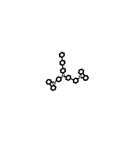 c1ccc(-c2ccc(-c3ccc(N(c4ccc(-c5cccc(-n6c7ccccc7c7ccccc76)c5)cc4)c4ccc(-n5c6ccccc6c6ccccc65)cc4)cc3)cc2)cc1